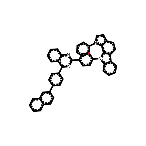 c1ccc(-n2ccc3ccc4c5ccccc5n(-c5ccc(-c6nc(-c7ccc(-c8ccc9ccccc9c8)cc7)c7ccccc7n6)cc5)c4c32)cc1